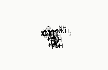 N=C(N)NCCC[C@H](N)C(=O)N1CCCCC1.O=C(O)C(F)(F)F.O=C(O)C(F)(F)F